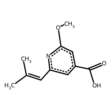 COc1cc(C(=O)O)cc(C=C(C)C)n1